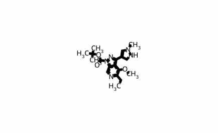 CCc1ncc2c(c(C3=CN(C)NC3)nn2C(=O)OC(C)(C)C)c1OC